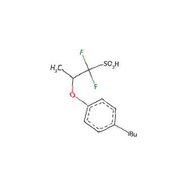 CCC(C)c1ccc(OC(C)C(F)(F)S(=O)(=O)O)cc1